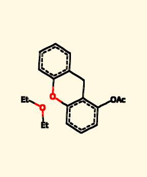 CC(=O)Oc1cccc2c1Cc1ccccc1O2.CCOCC